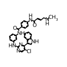 CNC/C=C/C(=O)Nc1ccc(C(=O)Nc2cccc(Nc3ncc(Cl)c(-c4c[nH]c5ccccc45)n3)c2)cc1